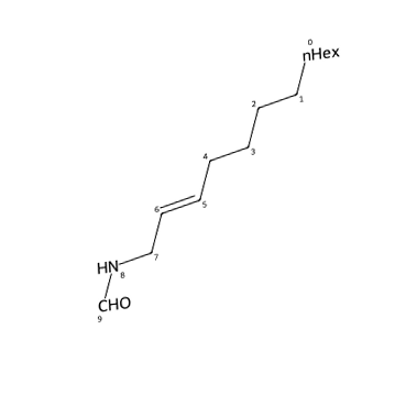 CCCCCCCCCC/C=C/CNC=O